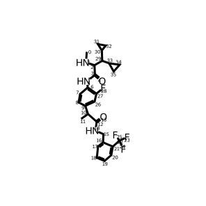 CNC(C(=O)Nc1ccc(C(C)C(=O)NCc2ccccc2C(F)(F)F)cc1F)C(C1CC1)C1CC1